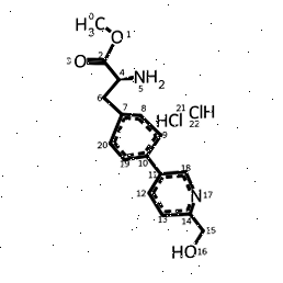 COC(=O)[C@@H](N)Cc1ccc(-c2ccc(CO)nc2)cc1.Cl.Cl